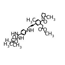 CCOC(=O)Cc1cc(C#CCNc2ccc(C(=N)NC(=O)OC(C)(C)C)cc2)c(C)cc1C(=O)N1CCCC1C